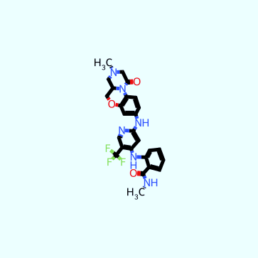 CNC(=O)c1ccccc1Nc1cc(Nc2ccc3c(c2)OCC2CN(C)CC(=O)N32)ncc1C(F)(F)F